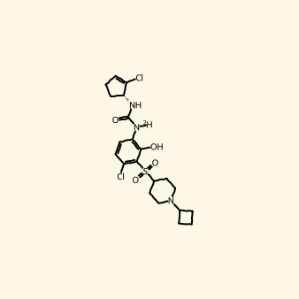 [2H]N(C(=O)N[C@@H]1CCC=C1Cl)c1ccc(Cl)c(S(=O)(=O)C2CCN(C3CCC3)CC2)c1O